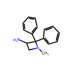 CN1CC(N)C1(c1ccccc1)c1ccccc1